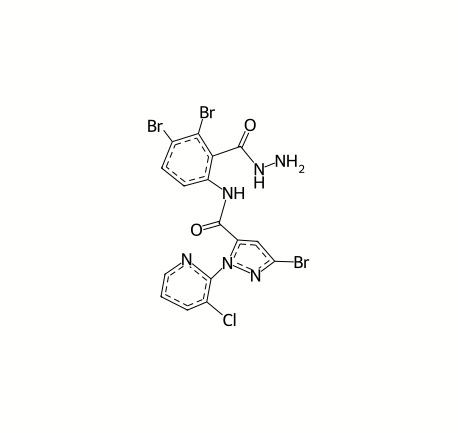 NNC(=O)c1c(NC(=O)c2cc(Br)nn2-c2ncccc2Cl)ccc(Br)c1Br